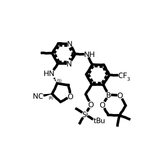 Cc1cnc(Nc2cc(CO[Si](C)(C)C(C)(C)C)c(B3OCC(C)(C)CO3)c(C(F)(F)F)c2)nc1N[C@@H]1COC[C@H]1C#N